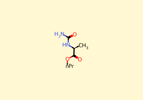 CCCOC(=O)[C@H](C)NC(N)=O